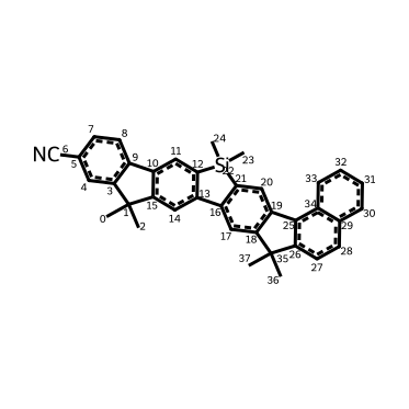 CC1(C)c2cc(C#N)ccc2-c2cc3c(cc21)-c1cc2c(cc1[Si]3(C)C)-c1c(ccc3ccccc13)C2(C)C